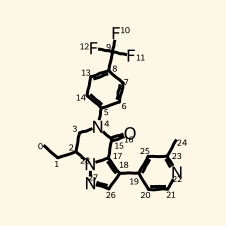 CCC1CN(c2ccc(C(F)(F)F)cc2)C(=O)c2c(-c3ccnc(C)c3)cnn21